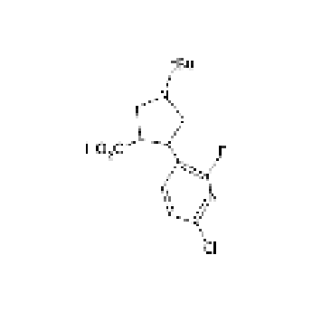 CC(C)(C)N1CC(C(=O)O)C(c2ccc(Cl)nc2F)C1